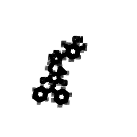 O=C1N(C(c2ccccc2)c2ccccc2)C(=O)C2(CC2)N1Cc1nnc(-c2ccc(F)c(O)c2F)s1